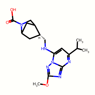 COc1nc2nc(C(C)C)cc(NC[C@@H]3CC4CC3CN4C(=O)O)n2n1